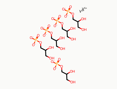 O=P([O-])([O-])OCC(O)CO.O=P([O-])([O-])OCC(O)CO.O=P([O-])([O-])OCC(O)CO.O=P([O-])([O-])OCC(O)CO.O=P([O-])([O-])OCC(O)CO.[V+5].[V+5]